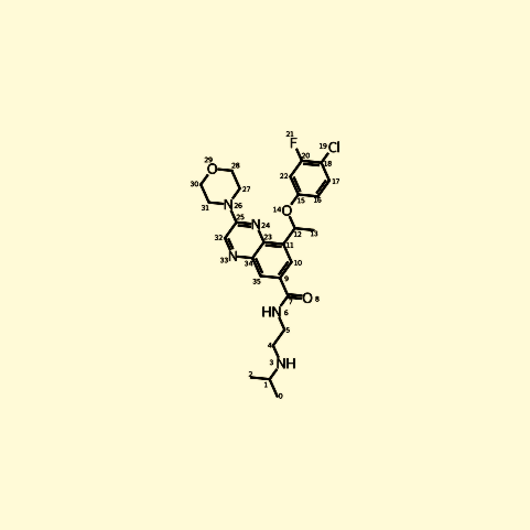 CC(C)NCCNC(=O)c1cc(C(C)Oc2ccc(Cl)c(F)c2)c2nc(N3CCOCC3)cnc2c1